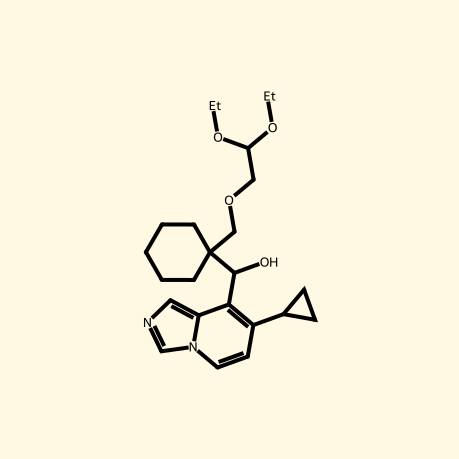 CCOC(COCC1(C(O)c2c(C3CC3)ccn3cncc23)CCCCC1)OCC